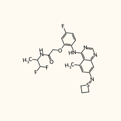 Cc1cc(N=S2CCC2)cc2ncnc(Nc3ccc(F)cc3OCC(=O)NC(C)C(F)F)c12